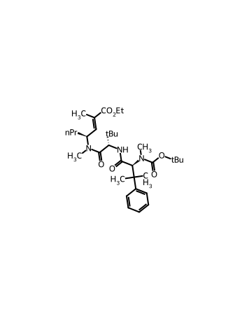 CCC[C@@H](C=C(C)C(=O)OCC)N(C)C(=O)[C@@H](NC(=O)[C@@H](N(C)C(=O)OC(C)(C)C)C(C)(C)c1ccccc1)C(C)(C)C